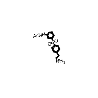 CC(=O)Nc1cccc(S(=O)(=O)c2ccc(CCN)cc2)c1